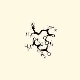 C=C(C)C(=O)O.C=C(CC=C(C)C#N)C(=O)OC.C=C(Cl)Cl